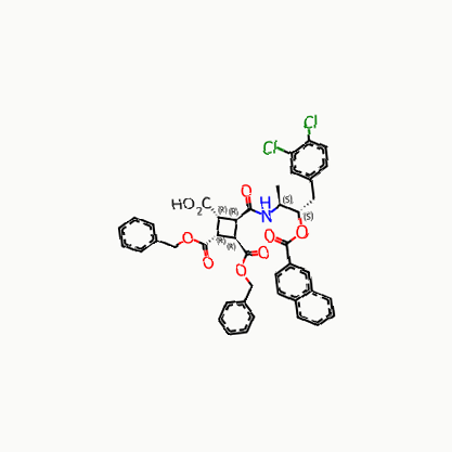 C[C@H](NC(=O)[C@@H]1[C@@H](C(=O)O)[C@@H](C(=O)OCc2ccccc2)[C@@H]1C(=O)OCc1ccccc1)[C@H](Cc1ccc(Cl)c(Cl)c1)OC(=O)c1ccc2ccccc2c1